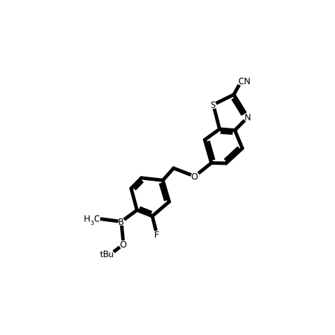 CB(OC(C)(C)C)c1ccc(COc2ccc3nc(C#N)sc3c2)cc1F